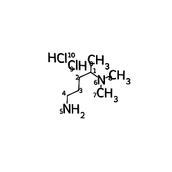 CC(CCCN)N(C)C.Cl.Cl